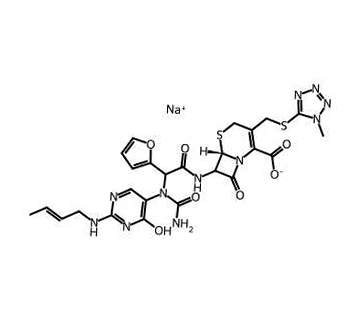 CC=CCNc1ncc(N(C(N)=O)C(C(=O)NC2C(=O)N3C(C(=O)[O-])=C(CSc4nnnn4C)CS[C@@H]23)c2ccco2)c(O)n1.[Na+]